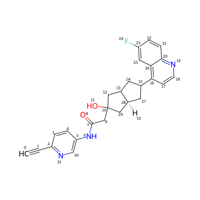 C#Cc1ccc(NC(=O)CC2(O)CC3CC(c4ccnc5ccc(F)cc45)C[C@H]3C2)cn1